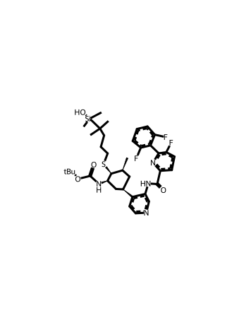 C[C@H]1C[C@@H](c2ccncc2NC(=O)c2ccc(F)c(-c3c(F)cccc3F)n2)C[C@@H](NC(=O)OC(C)(C)C)[C@H]1SCCCC(C)(C)[Si](C)(C)O